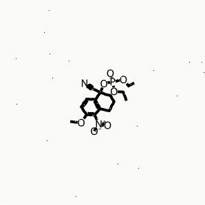 CCOP(=O)(OCC)OC1(C#N)CCCc2c1ccc(OC)c2[N+](=O)[O-]